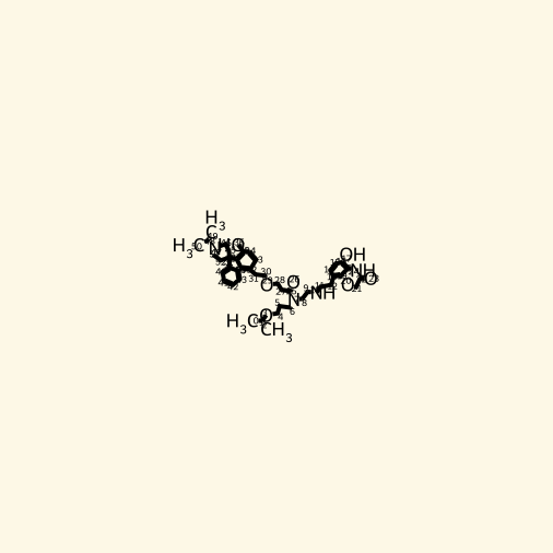 CC(C)OCCCN(CCNCCc1ccc(O)c2c1OCC(=O)N2)C(=O)CCOCCc1ccc(O)c(C2(c3ccccc3)CCN(C(C)C)CC2)c1